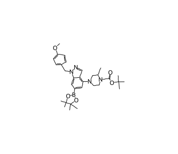 COc1ccc(Cn2ncc3c(N4CCN(C(=O)OC(C)(C)C)C(C)C4)cc(B4OC(C)(C)C(C)(C)O4)cc32)cc1